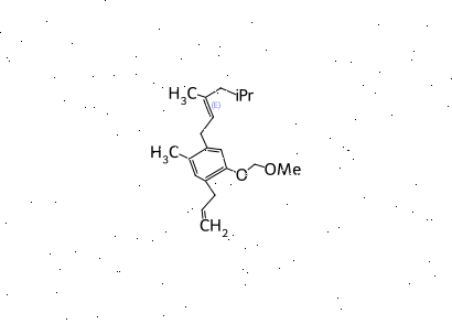 C=CCc1cc(C)c(C/C=C(\C)CC(C)C)cc1OCOC